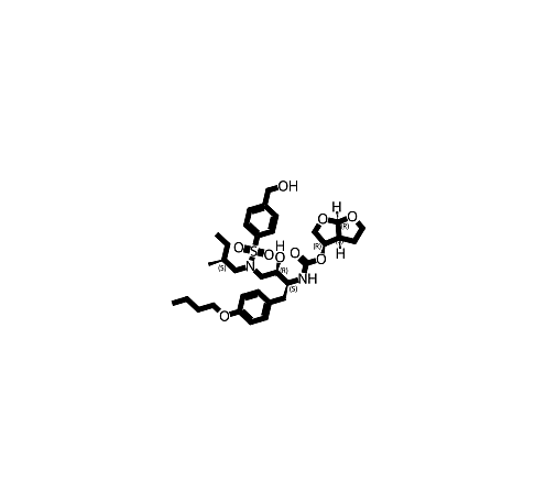 CCCCOc1ccc(C[C@H](NC(=O)O[C@H]2CO[C@H]3OCC[C@H]32)[C@H](O)CN(C[C@@H](C)CC)S(=O)(=O)c2ccc(CO)cc2)cc1